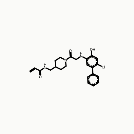 C=CC(=O)NCC1CCN(C(=O)CNc2cc(-c3ccccc3)c(Cl)cc2O)CC1